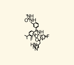 CNC(=O)NCc1cccc([C@H](NC(=O)[C@@H]2C[C@@H](F)CN2C(=O)Cc2cnn[nH]2)c2ccc(C(C)C)c(F)n2)c1